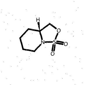 O=S1(=O)OC[C@H]2CCCCN21